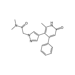 Cc1[nH]c(=O)cc(-c2ccccc2)c1-c1cnn(CC(=O)N(C)C)c1